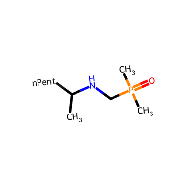 CCCCCC(C)NCP(C)(C)=O